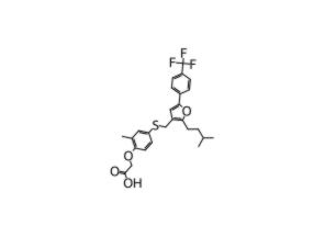 Cc1cc(SCc2cc(-c3ccc(C(F)(F)F)cc3)oc2CCC(C)C)ccc1OCC(=O)O